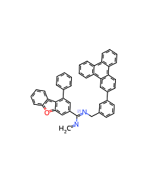 C=N/C(=N\Cc1cccc(-c2ccc3c4ccccc4c4ccccc4c3c2)c1)c1cc(-c2ccccc2)c2c(c1)oc1ccccc12